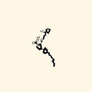 CCCCCCCCc1ccc([C@H]2CCN(C(=O)O)[C@@H]2COCCCC(O)c2cccnc2)cc1